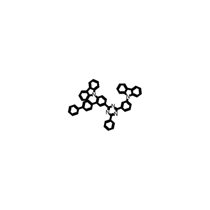 c1ccc(-c2ccc(-c3cc(-c4nc(-c5ccccc5)nc(-c5cccc(-n6c7ccccc7c7ccccc76)c5)n4)ccc3-n3c4ccccc4c4ccccc43)cc2)cc1